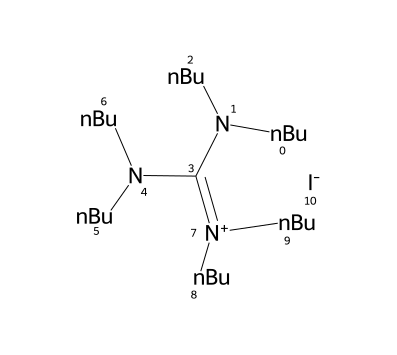 CCCCN(CCCC)C(N(CCCC)CCCC)=[N+](CCCC)CCCC.[I-]